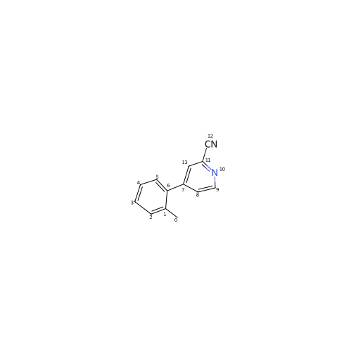 Cc1ccccc1-c1ccnc(C#N)c1